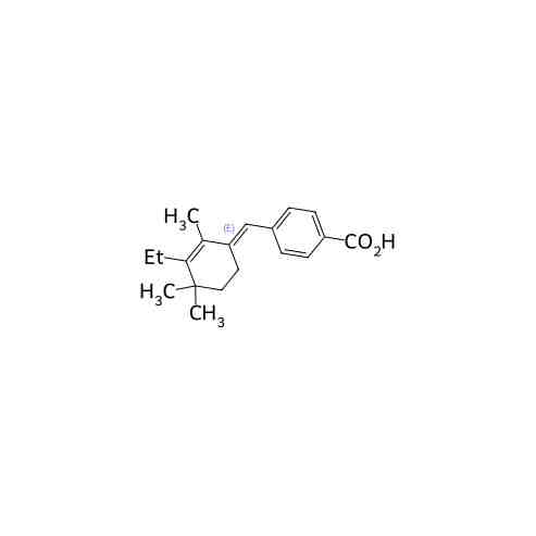 CCC1=C(C)/C(=C/c2ccc(C(=O)O)cc2)CCC1(C)C